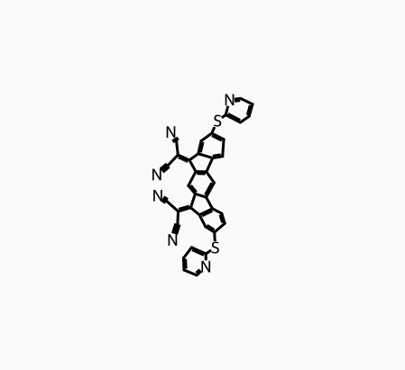 N#CC(C#N)=C1c2cc(Sc3ccccn3)ccc2-c2cc3c(cc21)C(=C(C#N)C#N)c1cc(Sc2ccccn2)ccc1-3